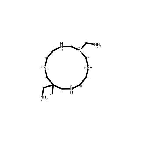 CC1(CN)CNCCNCN(CN)CNCCNC1